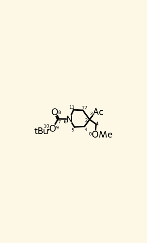 COCC1(C(C)=O)CCN(C(=O)OC(C)(C)C)CC1